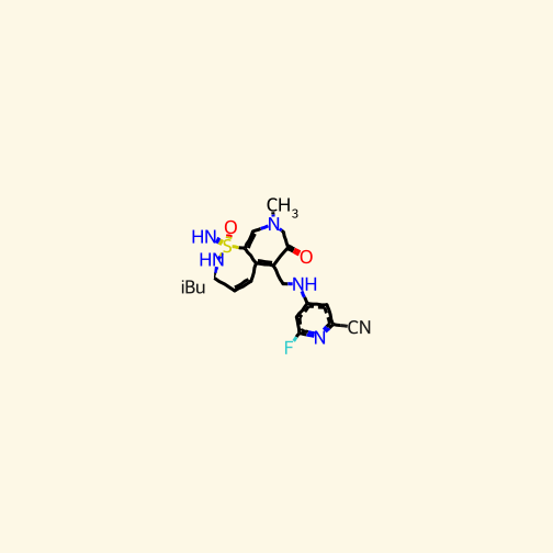 CC[C@H](C)[C@@H]1C=CC2=C(CNc3cc(F)nc(C#N)c3)C(=O)CN(C)C=C2S(=N)(=O)N1